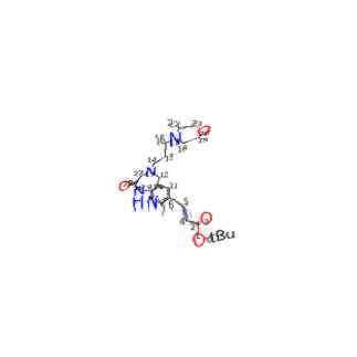 CC(C)(C)OC(=O)/C=C/c1cnc2c(c1)CN(CCCN1CCOCC1)CC(=O)N2